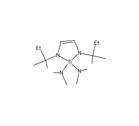 CCC(C)(C)[N]1C=C[N](C(C)(C)CC)[Ti]1([N](C)C)[N](C)C